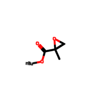 CCCCOC(=O)C1(C)CO1